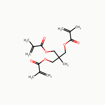 [CH2]C(COC(=O)C(=C)C)(COC(=O)C(=C)C)COC(=O)C(=C)C